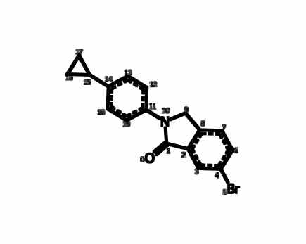 O=C1c2cc(Br)ccc2CN1c1ccc(C2CC2)cc1